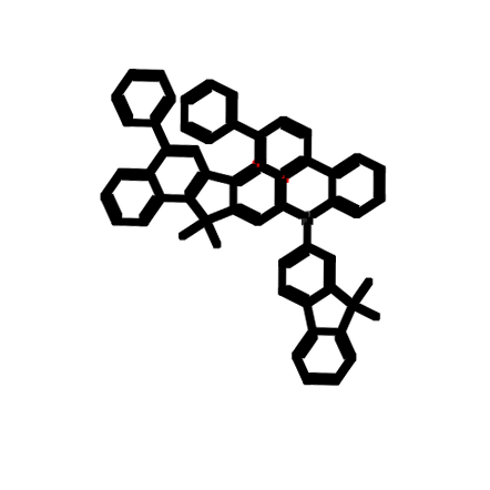 CC1(C)c2ccccc2-c2ccc(N(c3ccc4c(c3)C(C)(C)c3c-4cc(-c4ccccc4)c4ccccc34)c3ccccc3-c3ccc(-c4ccccc4)cc3)cc21